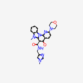 Cn1cnc(CNC(=O)c2c(=O)c3ccc(N4CCOCC4)nc3n3c4ccccc4n(C)c23)c1